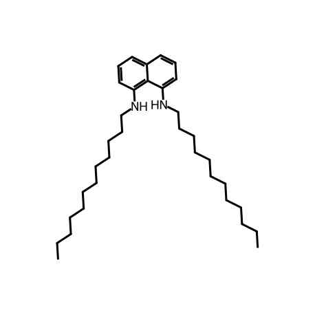 CCCCCCCCCCCCNc1cccc2cccc(NCCCCCCCCCCCC)c12